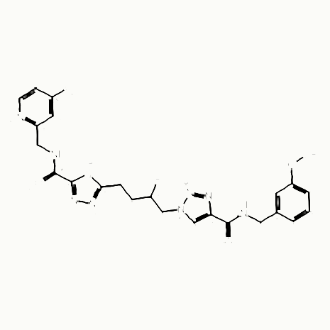 O=C(NCc1cccc(OC(F)(F)F)c1)c1cn(CC(F)CCc2nnc(C(=O)NCc3cc(C(F)(F)F)ccn3)s2)nn1